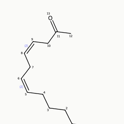 CCCCC/C=C\C/C=C\CC(C)=O